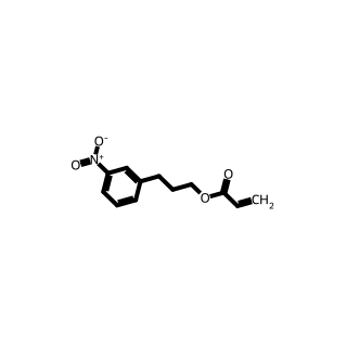 C=CC(=O)OCCCc1cccc([N+](=O)[O-])c1